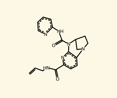 C=CCNC(=O)c1ccc2c(n1)N(C(=O)Nc1ccccn1)C1CCN2C1